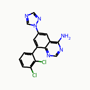 Nc1ncnc2c(-c3cccc(Cl)c3Cl)cc(-n3cncn3)cc12